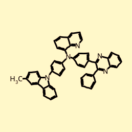 Cc1ccc2c(c1)c1ccccc1n2-c1ccc(N(c2ccc(-c3nc4ccccc4nc3-c3ccccc3)cc2)c2cccc3cccnc23)cc1